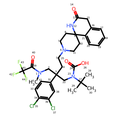 CN(CC(CCN1CCC2(CC1)NC(=O)Cc1ccccc12)(CN(C(=O)O)C(C)(C)C)c1ccc(Cl)c(Cl)c1)C(=O)C(F)(F)F